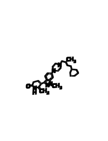 C=C1NC(=O)CCC1c1nn(C)c2cc(N3CCN(CC(C)CCC4CCCCC4)CC3)ccc12